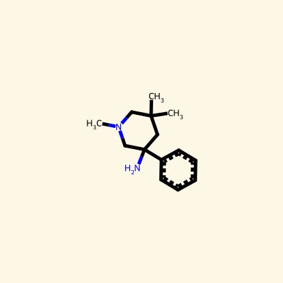 CN1CC(C)(C)CC(N)(c2ccccc2)C1